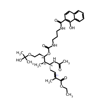 CCOC(=O)/C(C)=C/C[C@@H](NC(C)=O)[C@@H](C)[C@@H](CCOC(C)(C)O)OC(=O)NCCCNC(=O)c1ccc2ccccc2c1O